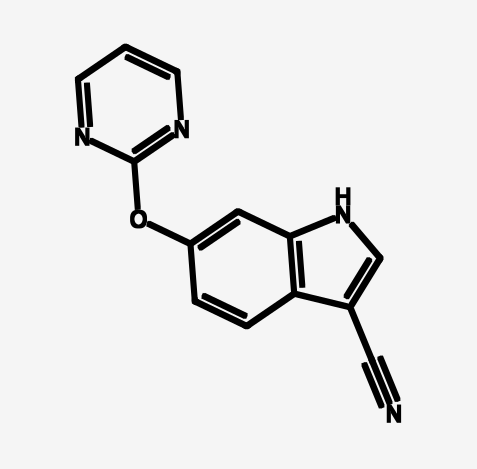 N#Cc1c[nH]c2cc(Oc3ncccn3)ccc12